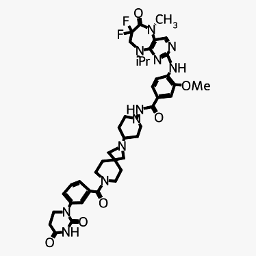 COc1cc(C(=O)NN2CCC(N3CC4(CCN(C(=O)c5cccc(N6CCC(=O)NC6=O)c5)CC4)C3)CC2)ccc1Nc1ncc2c(n1)N(C(C)C)CC(F)(F)C(=O)N2C